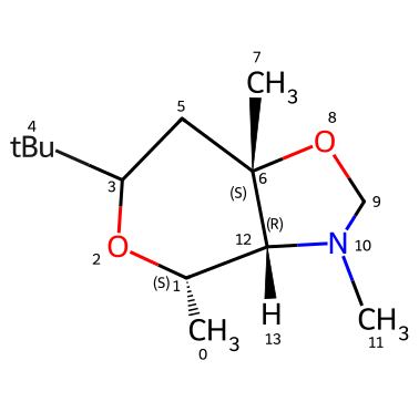 C[C@@H]1OC(C(C)(C)C)C[C@]2(C)OCN(C)[C@H]12